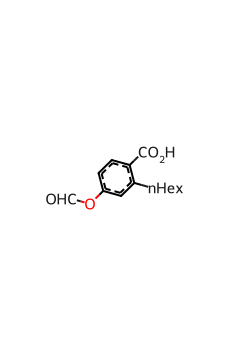 CCCCCCc1cc(OC=O)ccc1C(=O)O